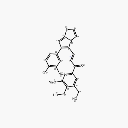 COc1cc(C(=O)/C=C/c2c(-c3ccc(Cl)c([N+](=O)[O-])c3)nc3sccn23)cc(CO)c1CO